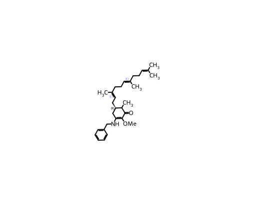 COC1=C(NCc2ccccc2)C[C@@H](C/C=C(\C)CC/C=C(\C)CCC=C(C)C)C(C)C1=O